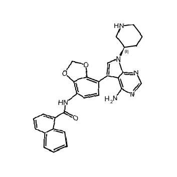 Nc1ncnc2c1c(-c1ccc(NC(=O)c3cccc4ccccc34)c3c1OCO3)cn2[C@@H]1CCCNC1